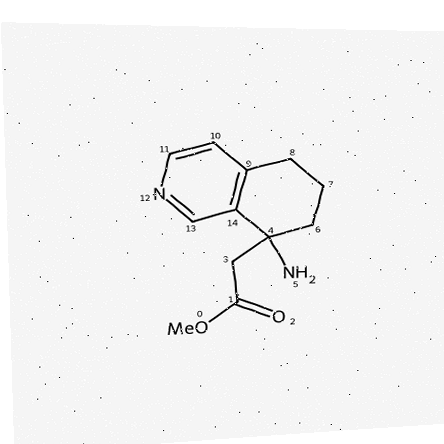 COC(=O)CC1(N)CCCc2ccncc21